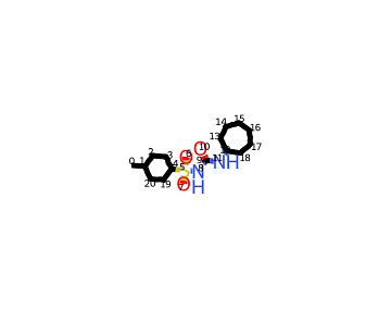 CC1CCC(S(=O)(=O)NC(=O)NC2CCCCCC2)CC1